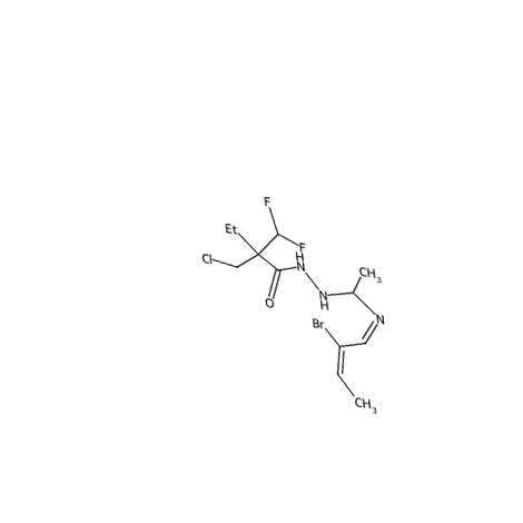 C/C=C(Br)\C=N/C(C)NNC(=O)C(CC)(CCl)C(F)F